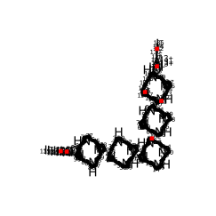 C1=Cc2cc3ccc(cc4nc(cc5ccc(cc1n2)[nH]5)C=C4)[nH]3.C1=Cc2cc3ccc(cc4nc(cc5ccc(cc1n2)[nH]5)C=C4)[nH]3.C1=Cc2cc3ccc(cc4nc(cc5ccc(cc1n2)[nH]5)C=C4)[nH]3.C1=Cc2cc3ccc(cc4nc(cc5ccc(cc1n2)[nH]5)C=C4)[nH]3.C1=Cc2cc3ccc(cc4nc(cc5ccc(cc1n2)[nH]5)C=C4)[nH]3.[Al+3].[Al+3].[Al+3].[Al+3].[Al+3].[I-].[I-].[I-].[I-].[I-].[I-].[I-].[I-].[I-].[I-].[I-].[I-].[OH-].[OH-].[OH-]